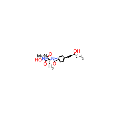 CNC(=O)C(C)(NC(=O)c1ccc(C#CC(C)O)cc1)C(=O)NO